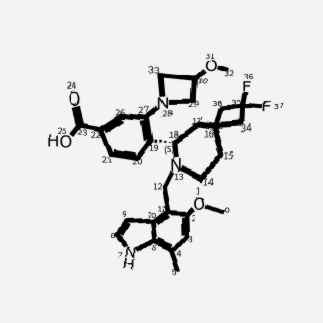 COc1cc(C)c2[nH]ccc2c1CN1CCC2(C[C@H]1c1ccc(C(=O)O)cc1N1CC(OC)C1)CC(F)(F)C2